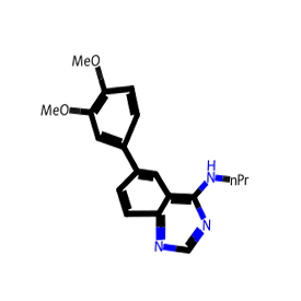 CCCNc1ncnc2ccc(-c3ccc(OC)c(OC)c3)cc12